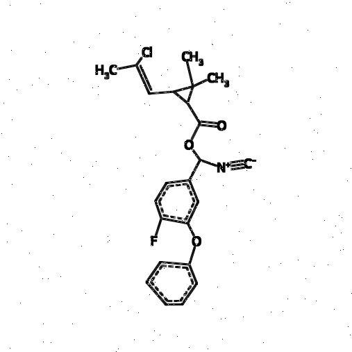 [C-]#[N+]C(OC(=O)C1C(/C=C(/C)Cl)C1(C)C)c1ccc(F)c(Oc2ccccc2)c1